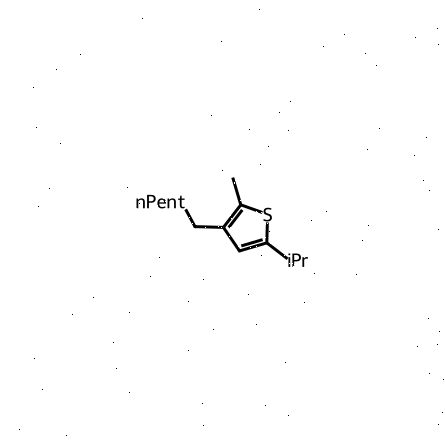 CCCCCCc1cc(C(C)C)sc1C